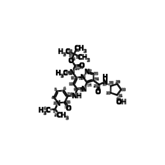 CC(C)n1cccc(Nc2cc(N(C)C(=O)OC(C)(C)C)n3ncc(C(=O)N[C@@H]4CC[C@H](O)C4)c3n2)c1=O